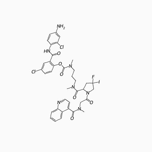 CN(CCCN(C)C(=O)C1CC(F)(I)CN1C(=O)CN(C)C(=O)c1ccnc2ccccc12)C(=O)Oc1ccc(Cl)cc1C(=O)Nc1ccc(N)cc1Cl